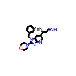 CN/C(=C\C=N)c1cnc2nc(N3CCOCC3)n(Cc3ccccc3)c2c1